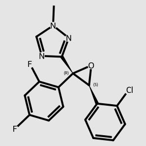 Cn1cnc([C@@]2(c3ccc(F)cc3F)O[C@H]2c2ccccc2Cl)n1